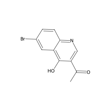 CC(=O)c1cnc2ccc(Br)cc2c1O